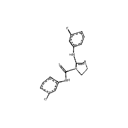 Fc1cccc(NC2=NCCN2C(=S)Nc2cccc(Cl)c2)c1